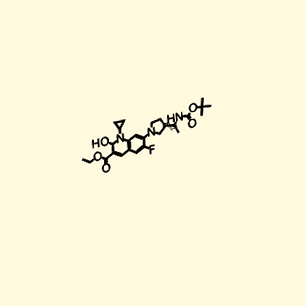 CCOC(=O)C1=Cc2cc(F)c(N3CC[C@@H]([C@H](C)NC(=O)OC(C)(C)C)C3)cc2N(C2CC2)C1O